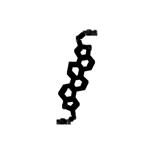 CCCCCCCCSc1cc2c(ccc3c2ccc2c4ccc5oc(SCCCCCCCC)cc5c4ccc32)o1